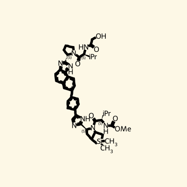 COC(=O)N[C@H](C(=O)N1C2C[Si](C)(C)CC2C[C@H]1c1ncc(-c2ccc(-c3ccc4c(ccc5nc([C@@H]6CCCN6C(=O)[C@@H](NC(=O)CO)C(C)C)[nH]c54)c3)cc2)[nH]1)C(C)C